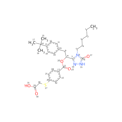 CCCCCCn1c(C(Cc2ccc(C(C)(C)C)cc2)OC(=O)c2ccc(SCC(=O)O)cc2)n[nH]c1=O